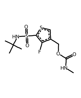 CNC(=O)OCc1csc(S(=O)(=O)NC(C)(C)C)c1F